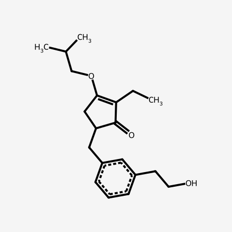 CCC1=C(OCC(C)C)CC(Cc2cccc(CCO)c2)C1=O